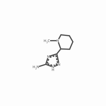 CN1CCCCC1c1n[nH]c(N)n1